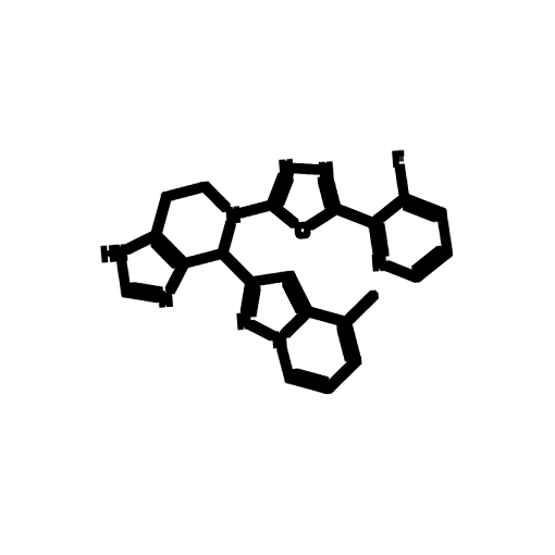 Cc1cccn2nc(C3c4nc[nH]c4CCN3c3nnc(-c4ncccc4F)o3)cc12